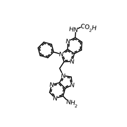 Nc1ncnc2c1ncn2Cc1nc2ccc(NC(=O)O)nc2n1-c1ccccc1